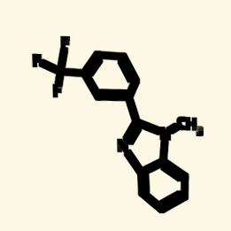 Cn1c(-c2cccc(C(F)(F)F)c2)nc2ccccc21